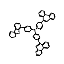 C1=Cc2c(oc3c(-c4ccc(N(c5ccc(-c6cc7ccccc7c7ccccc67)cc5)c5ccc(-c6cc7ccccc7c7ccccc67)cc5)cc4)cccc23)CC1